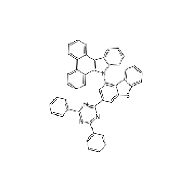 c1ccc(-c2nc(-c3ccccc3)nc(-c3cc(-n4c5ccccc5c5c6ccccc6c6ccccc6c54)c4c(c3)sc3ccccc34)n2)cc1